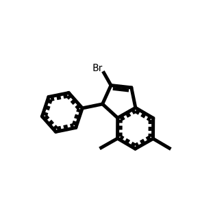 Cc1cc(C)c2c(c1)C=C(Br)C2c1ccccc1